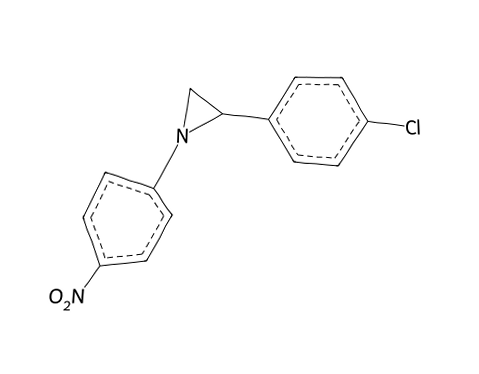 O=[N+]([O-])c1ccc(N2CC2c2ccc(Cl)cc2)cc1